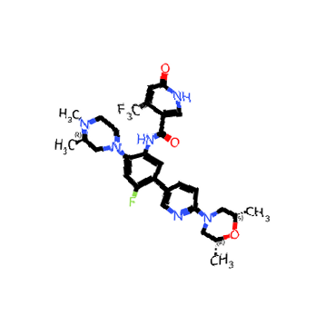 C[C@@H]1CN(c2ccc(-c3cc(NC(=O)c4c[nH]c(=O)cc4C(F)(F)F)c(N4CCN(C)[C@H](C)C4)cc3F)cn2)C[C@H](C)O1